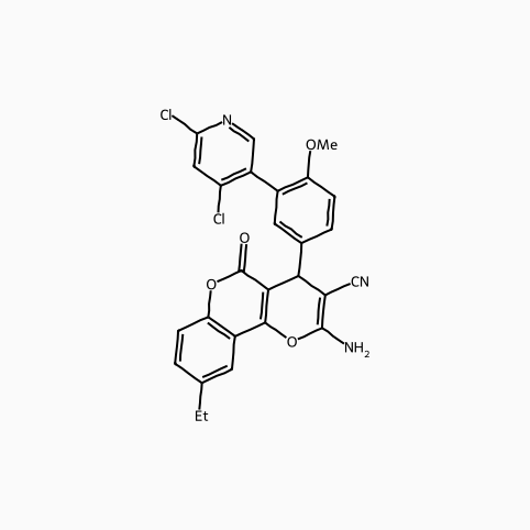 CCc1ccc2oc(=O)c3c(c2c1)OC(N)=C(C#N)C3c1ccc(OC)c(-c2cnc(Cl)cc2Cl)c1